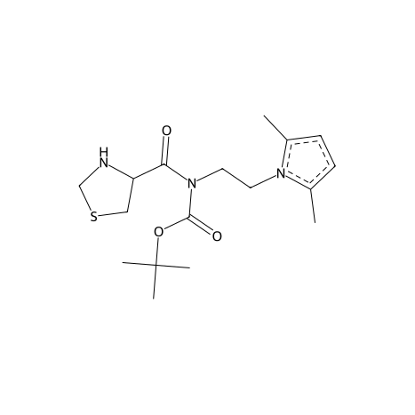 Cc1ccc(C)n1CCN(C(=O)OC(C)(C)C)C(=O)C1CSCN1